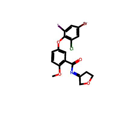 COc1ccc(Oc2c(Cl)cc(Br)cc2I)cc1C(=O)/N=C1\CCOC1